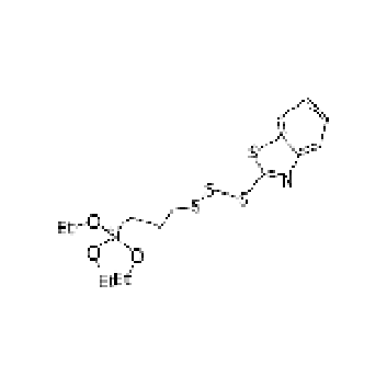 CCO[Si](CCCSSSc1nc2ccccc2s1)(OCC)OCC